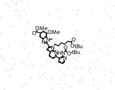 COC(=O)c1cc(OC)c2c(c1)nc(-c1cc3ccc(-c4cccnc4NC(=O)OC(C)(C)C)nc3n1CCCCCC(=O)OC(C)(C)C)n2C